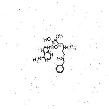 CN(CCNCc1ccccc1)C[C@H]1O[C@@H](n2cnc3c(N)ncnc32)[C@H](O)[C@@H]1O